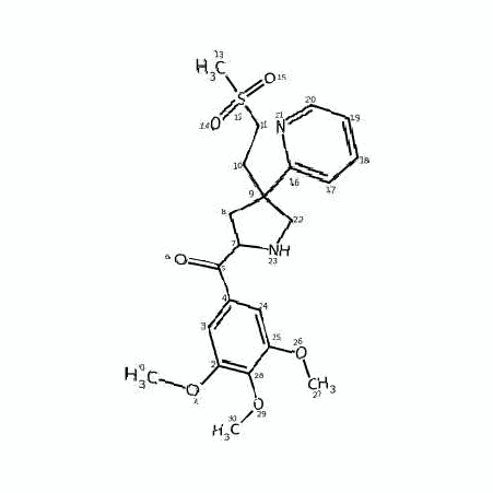 COc1cc(C(=O)C2CC(CCS(C)(=O)=O)(c3ccccn3)CN2)cc(OC)c1OC